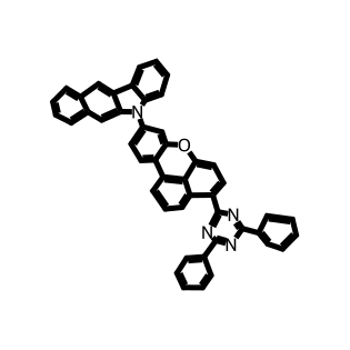 c1ccc(-c2nc(-c3ccccc3)nc(-c3ccc4c5c(cccc35)-c3ccc(-n5c6ccccc6c6cc7ccccc7cc65)cc3O4)n2)cc1